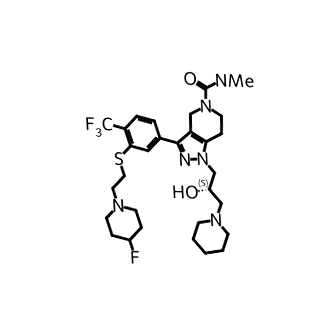 CNC(=O)N1CCc2c(c(-c3ccc(C(F)(F)F)c(SCCN4CCC(F)CC4)c3)nn2C[C@@H](O)CN2CCCCC2)C1